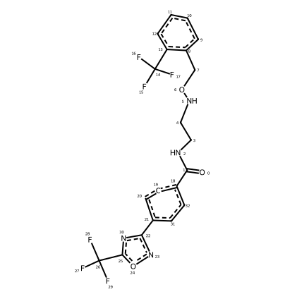 O=C(NCCNOCc1ccccc1C(F)(F)F)c1ccc(-c2noc(C(F)(F)F)n2)cc1